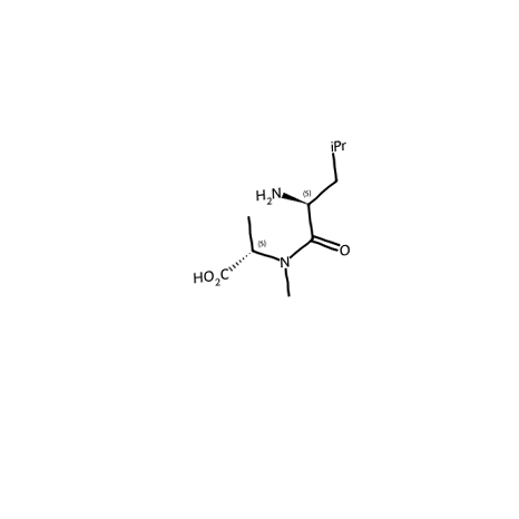 CC(C)C[C@H](N)C(=O)N(C)[C@@H](C)C(=O)O